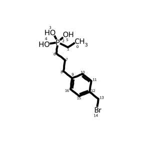 CCP(O)(O)(O)CCCc1ccc(CBr)cc1